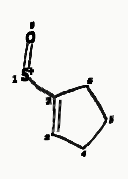 O=[S+]C1=CCCC1